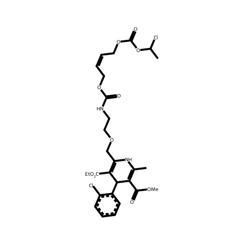 CCOC(=O)C1=C(COCCNC(=O)OC/C=C\COC(=O)OC(C)Cl)NC(C)=C(C(=O)OC)C1c1ccccc1Cl